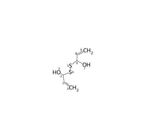 C=CC(O)SSC(O)C=C